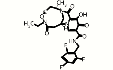 CCN1OCC[C@H](C)N2C[C@H](CC1=O)n1cc(C(=O)NCc3c(F)cc(F)cc3F)c(=O)c(O)c1C2=O